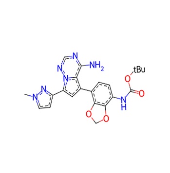 Cn1ccc(-c2cc(-c3ccc(NC(=O)OC(C)(C)C)c4c3OCO4)c3c(N)ncnn23)n1